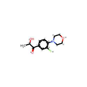 CC(O)C(=O)c1ccc(N2CCOCC2)c(F)c1